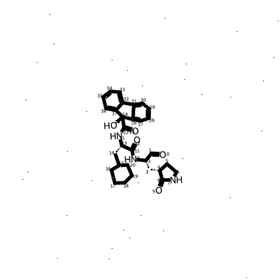 O=C[C@H](C[C@@H]1CCNC1=O)NC(=O)[C@H](CC1CCCCC1)NC(=O)C1(O)c2ccccc2-c2ccccc21